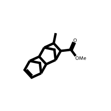 COC(=O)C1C(C)C2CC1C1C3C=CC(C3)C21